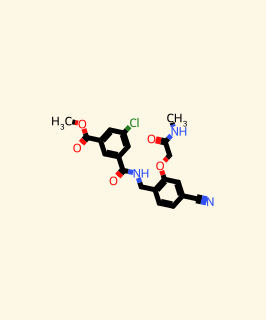 CNC(=O)COc1cc(C#N)ccc1CNC(=O)c1cc(Cl)cc(C(=O)OC)c1